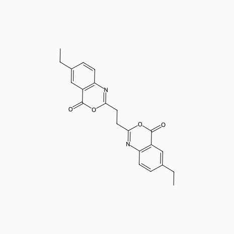 CCc1ccc2nc(CCc3nc4ccc(CC)cc4c(=O)o3)oc(=O)c2c1